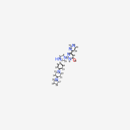 Cn1c(N2CCN[C@@H](c3ccc(N4CCC(N5CCCC5)CC4)cc3)C2)nc(-c2ccncn2)cc1=O